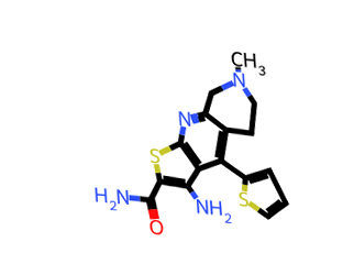 CN1CCc2c(nc3sc(C(N)=O)c(N)c3c2-c2cccs2)C1